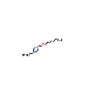 COCCN1CCN(CCOCCCCCCC(C)(C)C)CC1